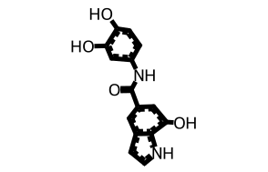 O=C(Nc1ccc(O)c(O)c1)c1cc(O)c2[nH]ccc2c1